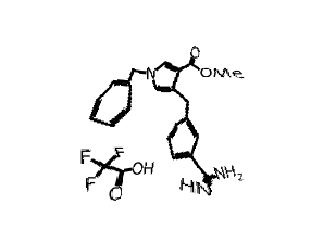 COC(=O)c1cn(Cc2ccccc2)cc1Cc1cccc(C(=N)N)c1.O=C(O)C(F)(F)F